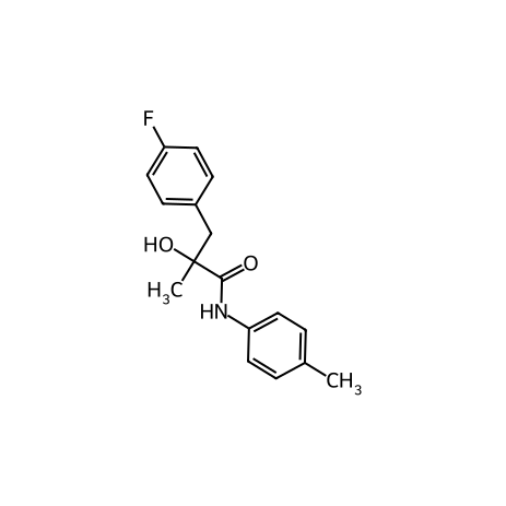 Cc1ccc(NC(=O)C(C)(O)Cc2ccc(F)cc2)cc1